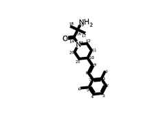 Cc1cccc(C)c1C=CC1CCN(C(=O)C(C)(C)N)CC1